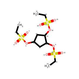 CCS(=O)(=O)OC1CC(OS(=O)(=O)CC)C(OS(=O)(=O)CC)C1